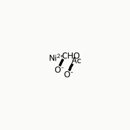 CC(=O)[O-].O=C[O-].[Ni+2]